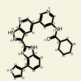 O=C(Nc1cncc(-c2cnc3[nH]nc(-c4nc5c(-c6ccsc6)cccc5[nH]4)c3c2)c1)C1CCCCC1